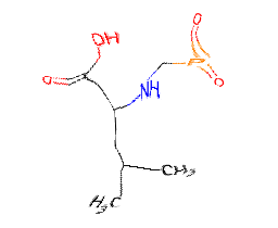 CC(C)CC(NCP(=O)=O)C(=O)O